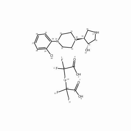 O=C(O)C(F)(F)F.O=C(O)C(F)(F)F.O[C@H]1CNC[C@@H]1N1CCN(c2ccccc2Cl)CC1